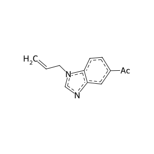 C=CCn1cnc2cc(C(C)=O)ccc21